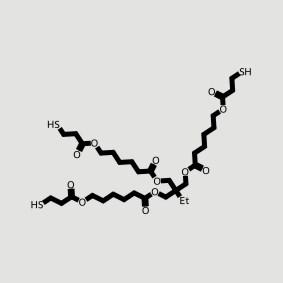 CCC(COC(=O)CCCCCOC(=O)CCS)(COC(=O)CCCCCOC(=O)CCS)COC(=O)CCCCCOC(=O)CCS